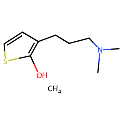 C.CN(C)CCCc1ccsc1O